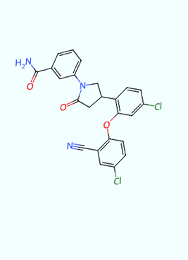 N#Cc1cc(Cl)ccc1Oc1cc(Cl)ccc1C1CC(=O)N(c2cccc(C(N)=O)c2)C1